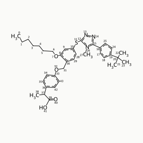 CCCCCCCOc1cc(Sc2nnc(-c3ccc(C(C)(C)C)cc3)n2C)ccc1COc1ccc(C(C)C(=O)O)cc1